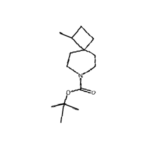 CC1CCC12CCN(C(=O)OC(C)(C)C)CC2